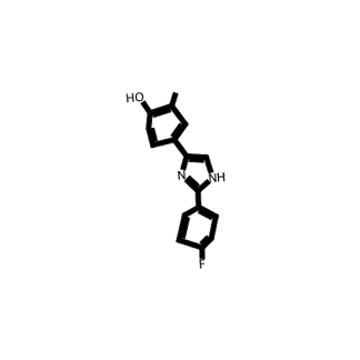 Cc1cc(-c2c[nH]c(-c3ccc(F)cc3)n2)ccc1O